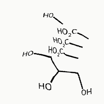 CC(=O)O.CC(=O)O.CC(=O)O.CO.OCC(O)CO